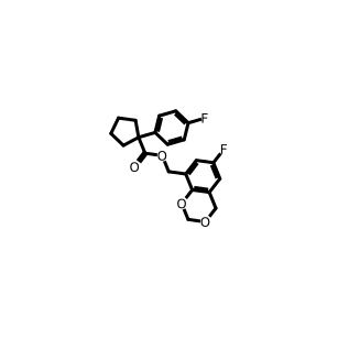 O=C(OCc1cc(F)cc2c1OCOC2)C1(c2ccc(F)cc2)CCCC1